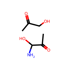 CC(=O)C(N)O.CC(=O)CO